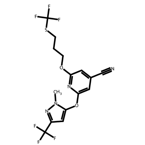 Cn1nc(C(F)(F)F)cc1Oc1cc(C#N)cc(OCCCSC(F)(F)F)n1